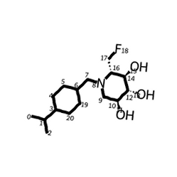 CC(C)C1CCC(CN2C[C@H](O)[C@@H](O)[C@H](O)[C@H]2CF)CC1